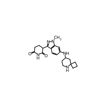 Cn1nc(C2CCC(=O)NC2=O)c2ccc(NC3CCNC4(CCC4)C3)cc21